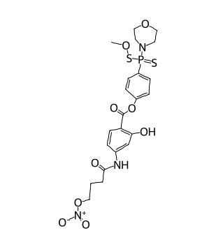 COSP(=S)(c1ccc(OC(=O)c2ccc(NC(=O)CCCO[N+](=O)[O-])cc2O)cc1)N1CCOCC1